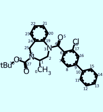 C[C@@H]1CN(C(=O)c2ccc(-c3ccccc3)cc2Cl)c2ccccc2CN1C(=O)OC(C)(C)C